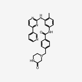 Cc1ccc(NC(=O)c2ccc(CN3CCNC(=O)C3)cc2)cc1Nc1nccc(-c2cccnc2)n1